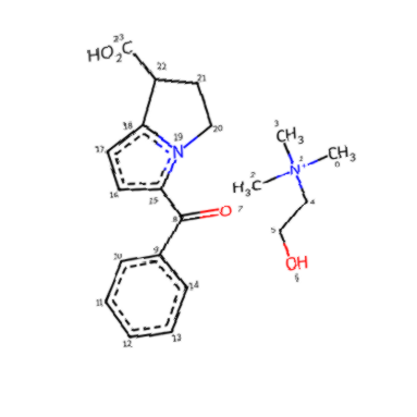 C[N+](C)(C)CCO.O=C(c1ccccc1)c1ccc2n1CCC2C(=O)O